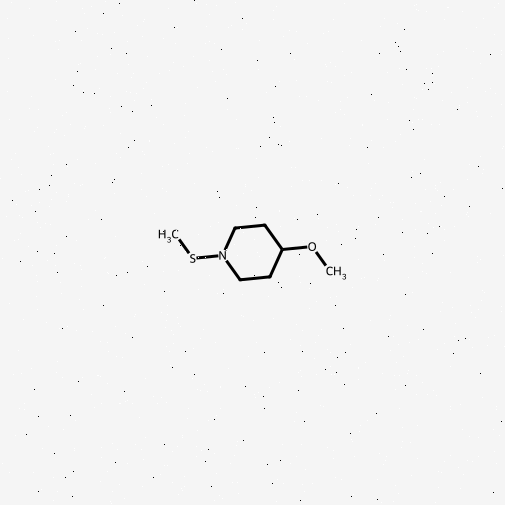 COC1CCN(SC)CC1